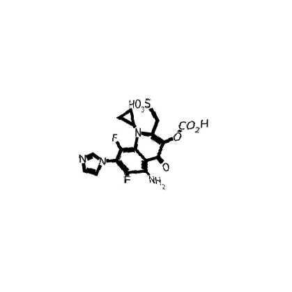 Nc1c(F)c(-n2ccnc2)c(F)c2c1c(=O)c(OC(=O)O)c(CS(=O)(=O)O)n2C1CC1